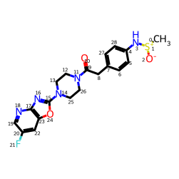 C[S+]([O-])Nc1ccc(CC(=O)N2CCN(c3nc4ncc(F)cc4o3)CC2)cc1